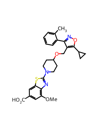 COc1cc(C(=O)O)cc2sc(N3CCC(OCc4c(-c5ccccc5C)noc4C4CC4)CC3)nc12